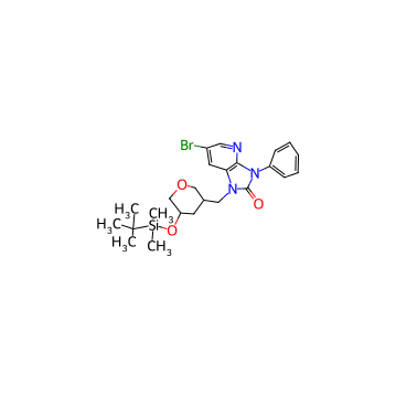 CC(C)(C)[Si](C)(C)OC1COCC(Cn2c(=O)n(-c3ccccc3)c3ncc(Br)cc32)C1